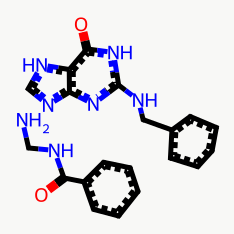 NCNC(=O)c1ccccc1.O=c1[nH]c(NCc2ccccc2)nc2nc[nH]c12